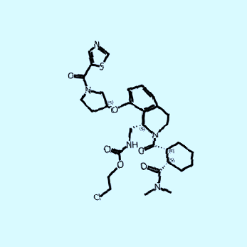 CN(C)C(=O)[C@H]1CCCC[C@H]1C(=O)N1CCc2cccc(O[C@H]3CCN(C(=O)c4cncs4)C3)c2[C@H]1CNC(=O)OCCCl